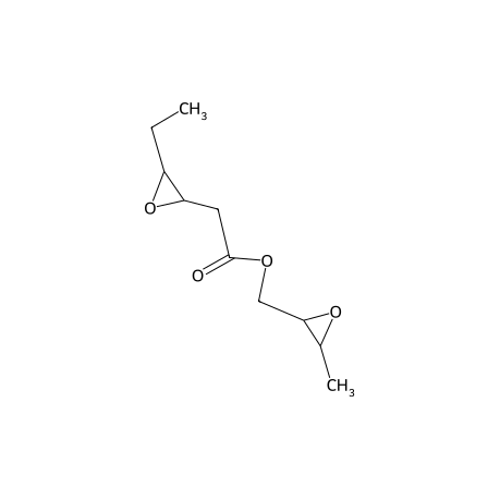 CCC1OC1CC(=O)OCC1OC1C